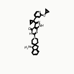 N[C@@H]1c2ccccc2CC12CCN(c1nc3[nH]nc(C4(c5ccnc(OC6CC6)c5)CC4)c3c(=O)[nH]1)CC2